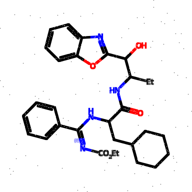 CCOC(=O)/N=C(\NC(CC1CCCCC1)C(=O)NC(CC)C(O)c1nc2ccccc2o1)c1ccccc1